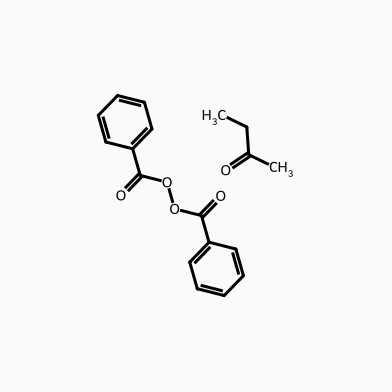 CCC(C)=O.O=C(OOC(=O)c1ccccc1)c1ccccc1